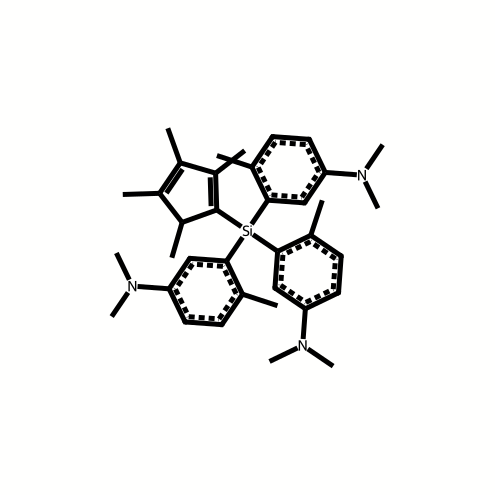 CC1=C(C)C(C)C([Si](c2cc(N(C)C)ccc2C)(c2cc(N(C)C)ccc2C)c2cc(N(C)C)ccc2C)=C1C